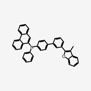 Cc1c(-c2cccc(-c3ccc(N(c4ccccc4)c4cc5ccccc5c5ccccc45)cc3)c2)oc2ccccc12